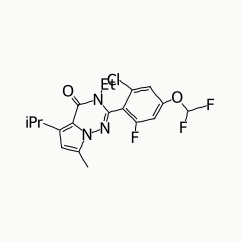 CCn1c(-c2c(F)cc(OC(F)F)cc2Cl)nn2c(C)cc(C(C)C)c2c1=O